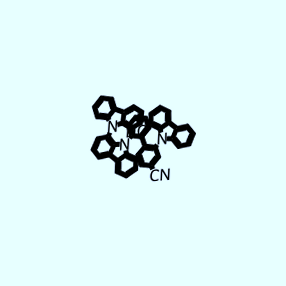 N#Cc1ccc(-c2ccccc2-n2c3ccccc3c3cccc(-n4c5ccccc5c5ccccc54)c32)c(-n2c3ccccc3c3cccc(C#N)c32)c1